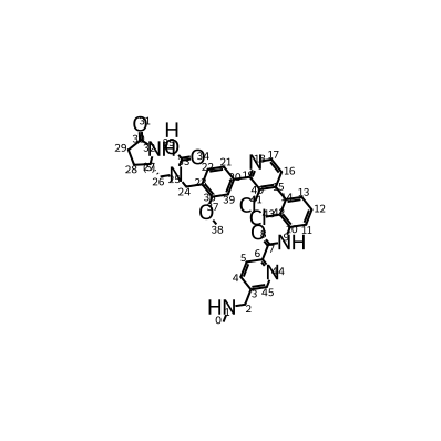 CNCc1ccc(C(=O)Nc2cccc(-c3ccnc(-c4ccc(CN(C[C@@H]5CCC(=O)N5)C(=O)O)c(OC)c4)c3Cl)c2Cl)nc1